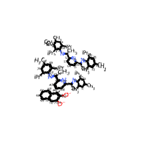 CC(=Nc1c(C(C)C)cc(C)cc1C(C)C)c1cccc(C(C)=Nc2c(C(C)C)cc(C)cc2C(C)C)n1.CC(=Nc1c(C(C)C)cc(C)cc1C(C)C)c1cccc(C(C)=Nc2c(C(C)C)cc(C)cc2C(C)C)n1.[Co+].[Co+].[O-]c1cc2ccccc2cc1[O-]